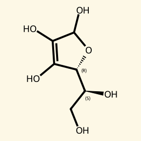 OC[C@H](O)[C@H]1OC(O)C(O)=C1O